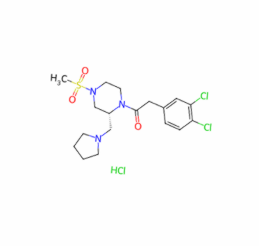 CS(=O)(=O)N1CCN(C(=O)Cc2ccc(Cl)c(Cl)c2)[C@H](CN2CCCC2)C1.Cl